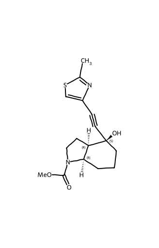 COC(=O)N1CC[C@@H]2[C@H]1CCC[C@@]2(O)C#Cc1csc(C)n1